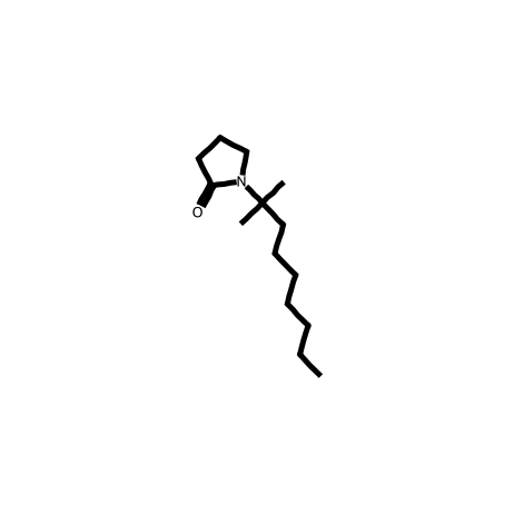 CCCCCCCC(C)(C)N1CCCC1=O